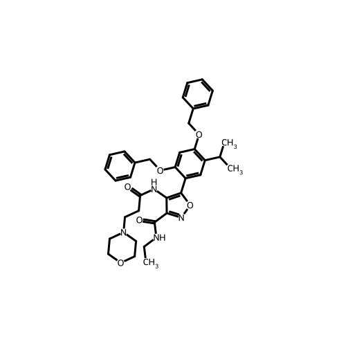 CCNC(=O)c1noc(-c2cc(C(C)C)c(OCc3ccccc3)cc2OCc2ccccc2)c1NC(=O)CCN1CCOCC1